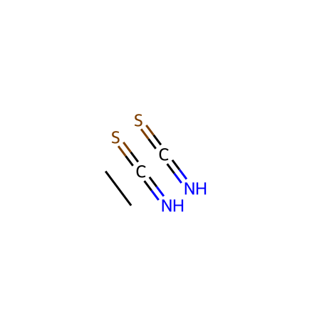 CC.N=C=S.N=C=S